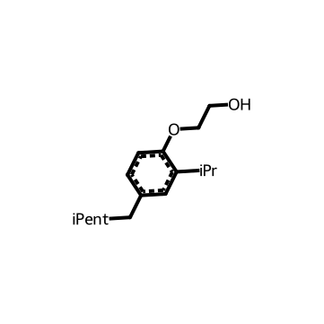 CCCC(C)Cc1ccc(OCCO)c(C(C)C)c1